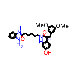 COc1cc(/C=C(\C(=O)NCCCCCC(=O)Nc2ccccc2N)c2ccc(O)cc2)cc(OC)c1